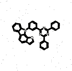 c1ccc(-c2nc(-c3ccccc3)nc(-c3cccc(-n4c5ccccc5c5ccc6ccoc6c54)c3)n2)cc1